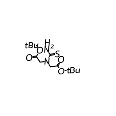 CC(C)(C)OC(=O)CN(CC(=O)OC(C)(C)C)C(N)=S